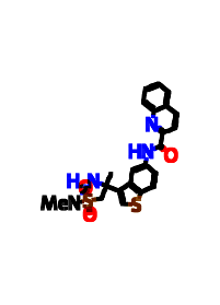 CNS(=O)(=O)CC(C)(N)c1csc2ccc(NC(=O)c3ccc4ccccc4n3)cc12